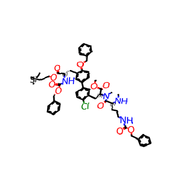 CN[C@@H](CCCNC(=O)OCc1ccccc1)C(=O)N(C)[C@@H](Cc1cc(-c2ccc(OCc3ccccc3)c(C[C@H](NC(=O)OCc3ccccc3)C(=O)OCC[Si](C)(C)C)c2)ccc1Cl)C(=O)OC